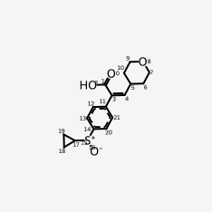 O=C(O)C(=CC1CCOCC1)c1ccc([S+]([O-])C2CC2)cc1